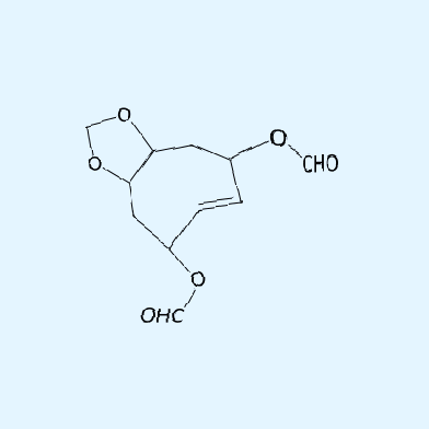 O=COC1/C=C/C(OC=O)CC2OCOC2C1